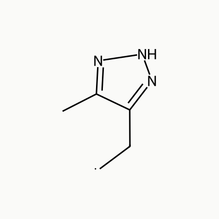 [CH2]Cc1n[nH]nc1C